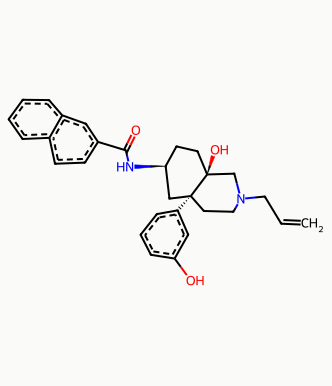 C=CCN1CC[C@@]2(c3cccc(O)c3)C[C@@H](NC(=O)c3ccc4ccccc4c3)CC[C@]2(O)C1